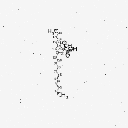 CCC=CCC=CCCCCCC(CCCCCCC)CC(C)(CC=O)C(=O)O